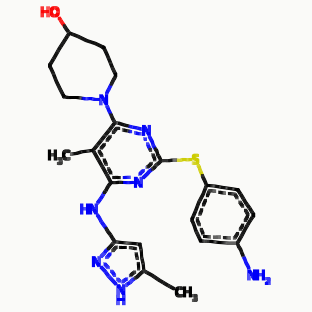 Cc1cc(Nc2nc(Sc3ccc(N)cc3)nc(N3CCC(O)CC3)c2C)n[nH]1